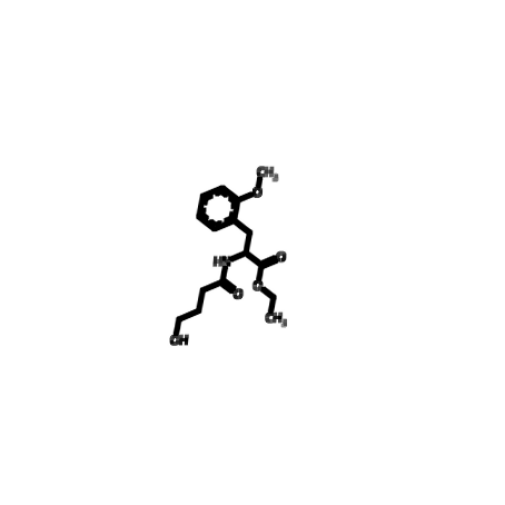 CCOC(=O)C(Cc1ccccc1OC)NC(=O)CCCO